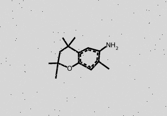 Cc1cc2c(cc1N)C(C)(C)CC(C)(C)O2